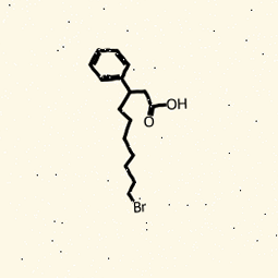 O=C(O)CC(CCCCCCCBr)c1ccccc1